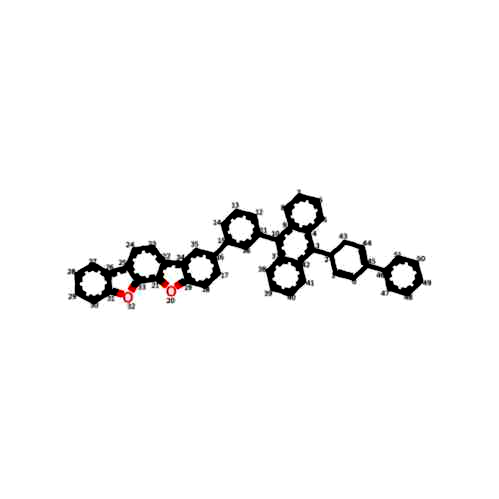 C1=CC(c2c3ccccc3c(-c3cccc(-c4ccc5oc6c(ccc7c8ccccc8oc76)c5c4)c3)c3ccccc23)CC=C1c1ccccc1